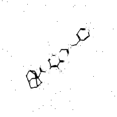 O=C(Cn1ncc(NC(=O)C23CC4CC(CC(C4)C2)C3)c(Br)c1=O)NCc1ccncc1